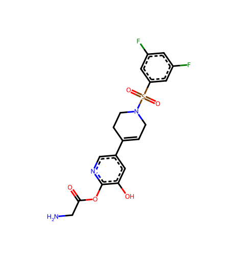 NCC(=O)Oc1ncc(C2=CCN(S(=O)(=O)c3cc(F)cc(F)c3)CC2)cc1O